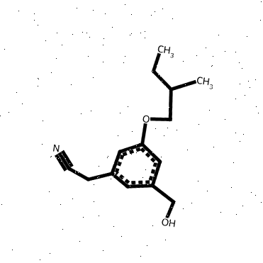 CCC(C)COc1cc(CO)cc(CC#N)c1